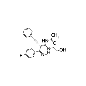 CC(=O)N/C(NCCO)=C(\C#Cc1ccccc1)C(=N)c1ccc(F)cc1